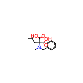 CC(C)CC(C(=O)O)(C(=O)O)N(C)Cc1ccccc1